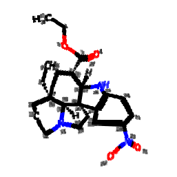 CCOC(=O)[C@H]1C[C@]2(CC)CCCN3CC[C@]4(c5cc([N+](=O)[O-])ccc5N[C@@H]14)[C@@H]32